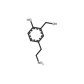 O=[N+]([O-])CCc1ccc(O)c(CO)c1